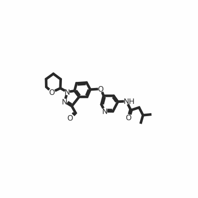 CC(C)CC(=O)Nc1cncc(Oc2ccc3c(c2)c(C=O)nn3C2CCCCO2)c1